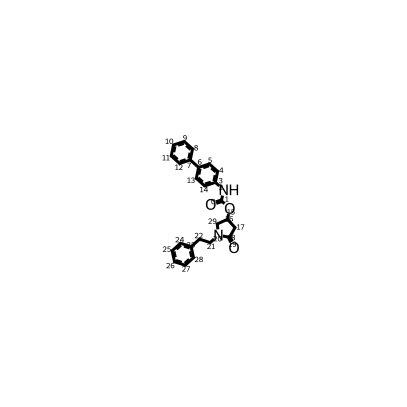 O=C(Nc1ccc(-c2ccccc2)cc1)OC1CC(=O)N(CCc2ccccc2)C1